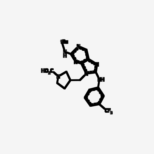 CC(C)(C)Nc1ncc2nc(Nc3cccc(C(F)(F)F)c3)n(CC3CCN(C(=O)O)C3)c2n1